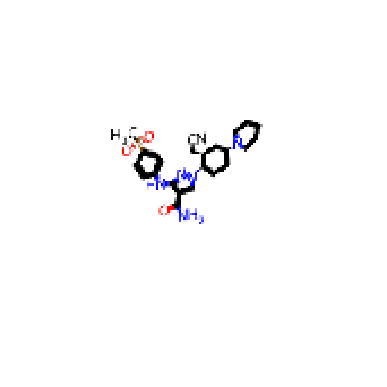 CS(=O)(=O)c1ccc(Nc2nn([C@H]3CC[C@@H](N4CCCCC4)C[C@@H]3CC#N)cc2C(N)=O)cc1